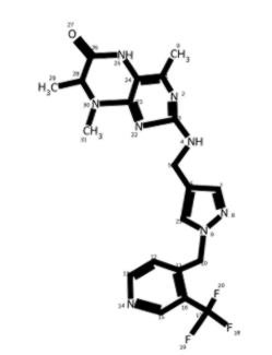 Cc1nc(NCc2cnn(Cc3ccncc3C(F)(F)F)c2)nc2c1NC(=O)C(C)N2C